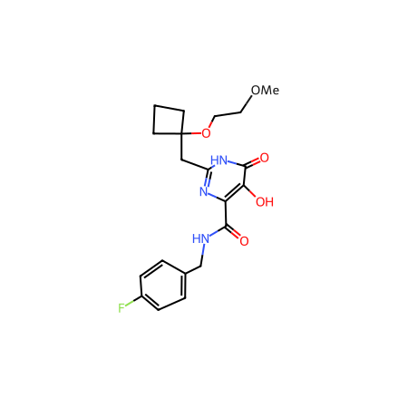 COCCOC1(Cc2nc(C(=O)NCc3ccc(F)cc3)c(O)c(=O)[nH]2)CCC1